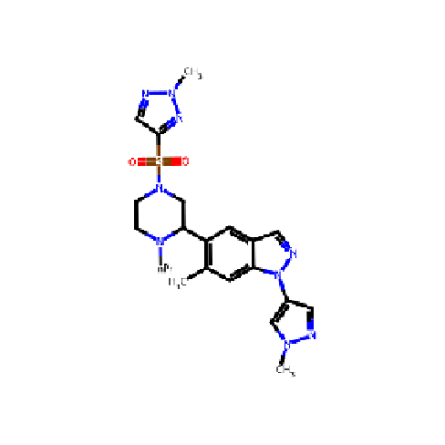 CCCN1CCN(S(=O)(=O)c2cnn(C)n2)CC1c1cc2cnn(-c3cnn(C)c3)c2cc1C